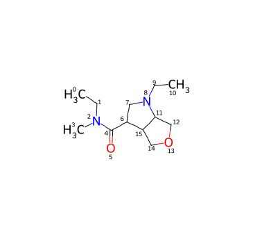 CCN(C)C(=O)C1CN(CC)C2COCC12